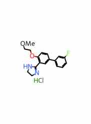 COCCOc1ccc(-c2cccc(F)c2)cc1C1=NCCN1.Cl